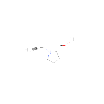 C#CCN1CCC[C@H]1COC